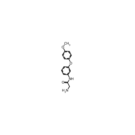 COc1ccc(Oc2cccc(NC(=O)CN)c2)cc1